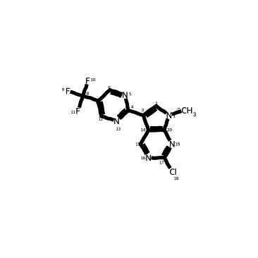 Cn1cc(-c2ncc(C(F)(F)F)cn2)c2cnc(Cl)nc21